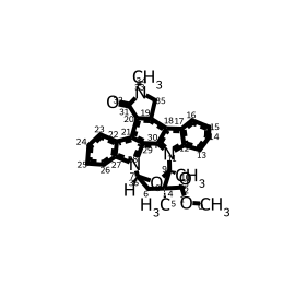 COC(=O)[C@@]1(C)C[C@H]2O[C@]1(C)n1c3ccccc3c3c4c(c5c6ccccc6n2c5c31)C(=O)N(C)C4